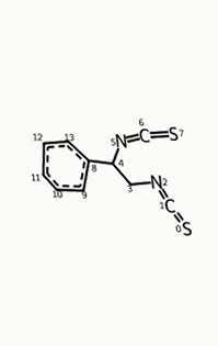 S=C=NCC(N=C=S)c1ccccc1